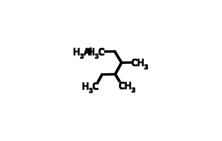 CCC(C)C(C)CC.[AlH3]